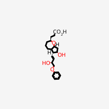 O=C(O)CC[C@@H]1CCC[C@@H]2[C@@H](/C=C/[C@@H](O)COc3ccccc3)[C@H](O)C[C@@H]2O1